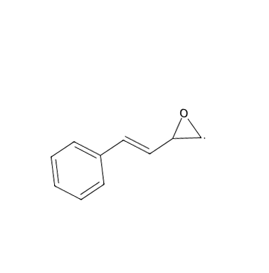 [CH]1OC1C=Cc1ccccc1